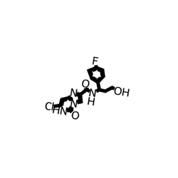 O=C(NC(CCO)c1ccc(F)cc1)c1cn2c(=O)[nH]c(Cl)cc2n1